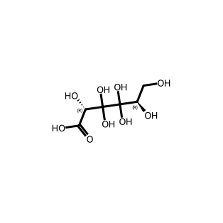 O=C(O)[C@H](O)C(O)(O)C(O)(O)[C@H](O)CO